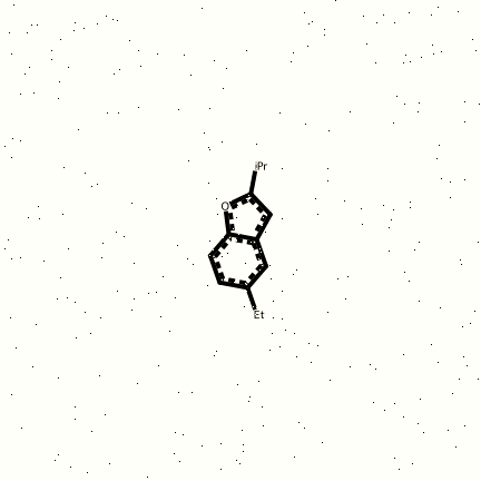 CCc1ccc2oc(C(C)C)cc2c1